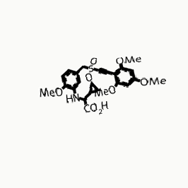 COc1cc(OC)c(C#CS(=O)(=O)Cc2ccc(OC)c(NC(C(=O)O)C3CC3)c2)c(OC)c1